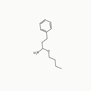 CCCCOC(N)CCc1ccccc1